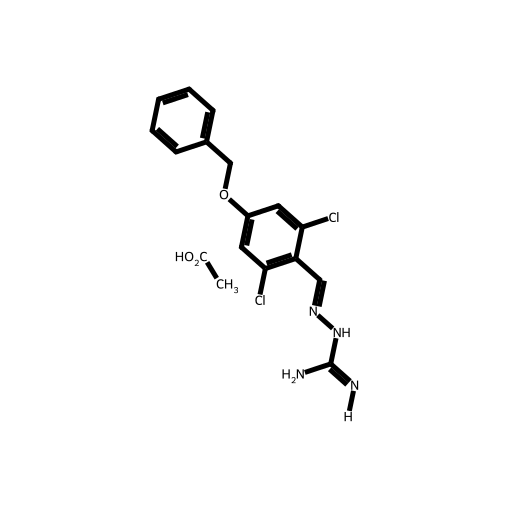 CC(=O)O.[H]/N=C(\N)NN=Cc1c(Cl)cc(OCc2ccccc2)cc1Cl